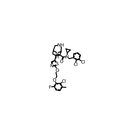 Cc1ccc(F)c(OCCOc2ncc(C3=C(C(=O)N(Cc4cccc(Cl)c4Cl)C4CC4)C4CNCC(C3)N4)s2)c1Cl